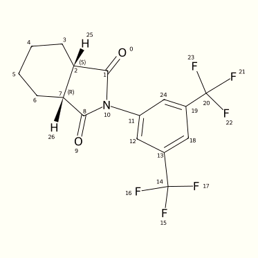 O=C1[C@H]2CCCC[C@H]2C(=O)N1c1cc(C(F)(F)F)cc(C(F)(F)F)c1